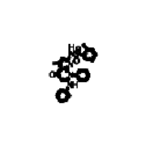 Cc1ccccc1S(=O)(=O)Nc1cc(C)c2c(=O)cc(Nc3ccccc3)n(-c3ccccc3)c2n1